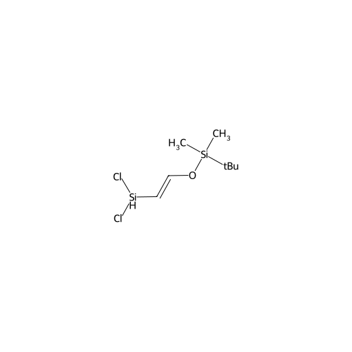 CC(C)(C)[Si](C)(C)OC=C[SiH](Cl)Cl